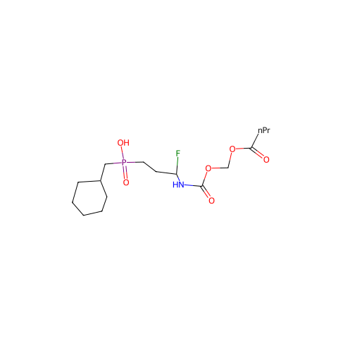 CCCC(=O)OCOC(=O)NC(F)CCP(=O)(O)CC1CCCCC1